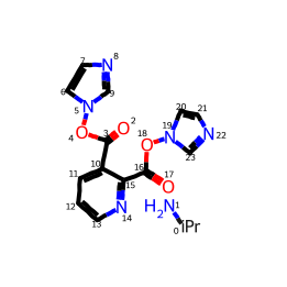 CC(C)N.O=C(On1ccnc1)c1cccnc1C(=O)On1ccnc1